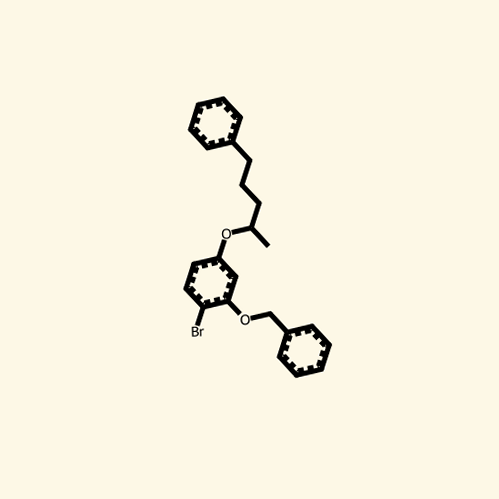 CC(CCCc1ccccc1)Oc1ccc(Br)c(OCc2ccccc2)c1